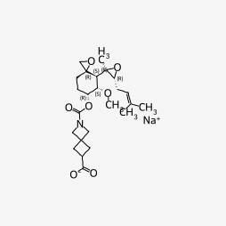 CO[C@@H]1[C@H](OC(=O)N2CC3(CC(C(=O)[O-])C3)C2)CC[C@]2(CO2)[C@H]1[C@@]1(C)O[C@@H]1CC=C(C)C.[Na+]